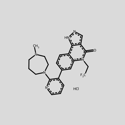 CN1CCCN(c2ncccc2-c2ccc3c4[nH]ncc4c(=O)n(CC(F)(F)F)c3c2)CC1.Cl